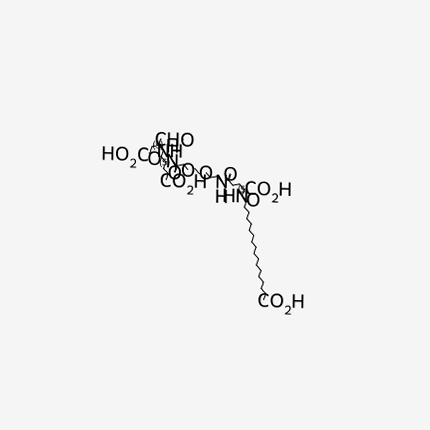 O=[C][C@H](CCC(=O)O)NC(=O)[C@H](CCC(=O)O)NC(=O)COCCOCCNC(=O)CC[C@H](NC(=O)CCCCCCCCCCCCCCCCC(=O)O)C(=O)O